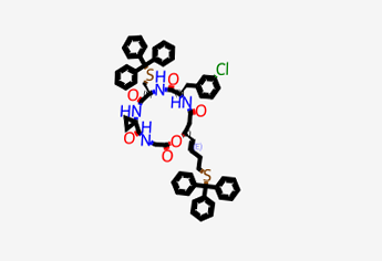 O=C1C[C@@H](/C=C/CCSC(c2ccccc2)(c2ccccc2)c2ccccc2)OC(=O)CNC(=O)C2(CC2)NC(=O)[C@@H](CSC(c2ccccc2)(c2ccccc2)c2ccccc2)NC(=O)[C@@H](Cc2cccc(Cl)c2)N1